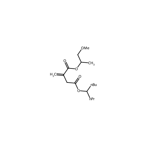 C=C(CC(=O)OC(CCC)CCCC)C(=O)OC(C)COC